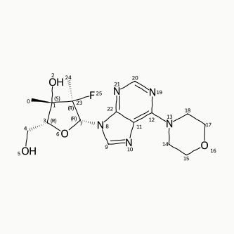 C[C@]1(O)[C@@H](CO)O[C@@H](n2cnc3c(N4CCOCC4)ncnc32)[C@]1(C)F